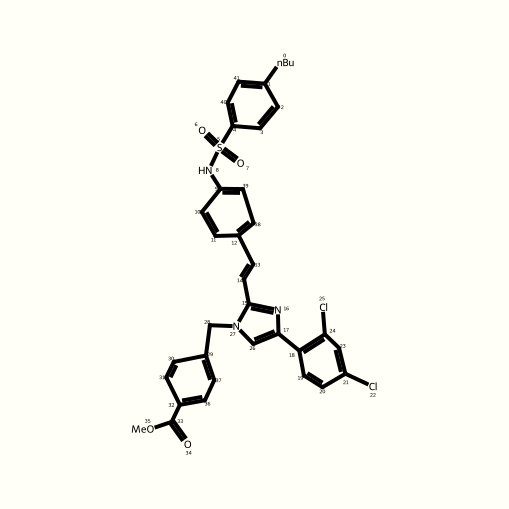 CCCCc1ccc(S(=O)(=O)Nc2ccc(C=Cc3nc(-c4ccc(Cl)cc4Cl)cn3Cc3ccc(C(=O)OC)cc3)cc2)cc1